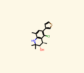 Cc1cc(-c2ccsc2)c(Cl)c2c1NC(C)(C)[C@@H](O)[C@@H]2C